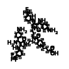 Nc1ccc([C@@H](N)C2=C(Nc3cccc(C(F)(F)F)c3)CN(CCCN(CCCN3CC(Nc4cccc(C(F)(F)F)c4)=C([C@H](N)c4ccc(N)cc4)C3=O)C(=O)c3cc[n+](CCCC(=O)O)cc3)C2=O)cc1